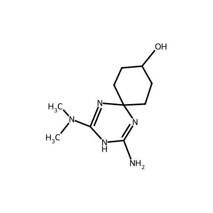 CN(C)C1=NC2(CCC(O)CC2)N=C(N)N1